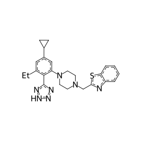 CCc1cc(C2CC2)cc(N2CCN(Cc3nc4ccccc4s3)CC2)c1-c1nn[nH]n1